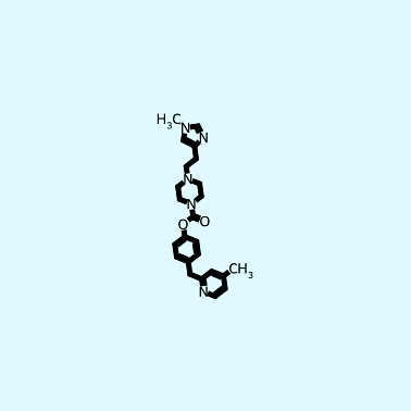 Cc1ccnc(Cc2ccc(OC(=O)N3CCN(CCc4cn(C)cn4)CC3)cc2)c1